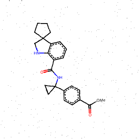 COC(=O)c1ccc(C2(NC(=O)c3cccc4c3NCC43CCCC3)CC2)cc1